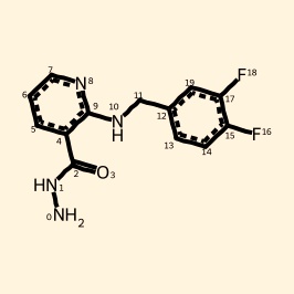 NNC(=O)c1cccnc1NCc1ccc(F)c(F)c1